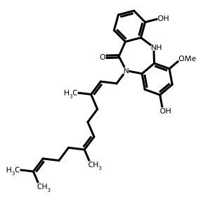 COc1cc(O)cc2c1Nc1c(O)cccc1C(=O)N2CC=C(C)CCC=C(C)CCC=C(C)C